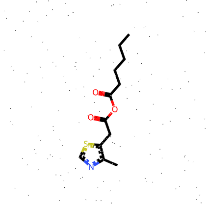 CCCCCC(=O)OC(=O)Cc1scnc1C